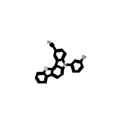 N#Cc1ccc2c(c1)c1c3oc4ccccc4c3ccc1n2-c1cccc(Br)c1